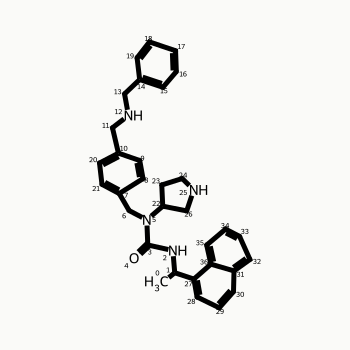 CC(NC(=O)N(Cc1ccc(CNCc2ccccc2)cc1)C1CCNC1)c1cccc2ccccc12